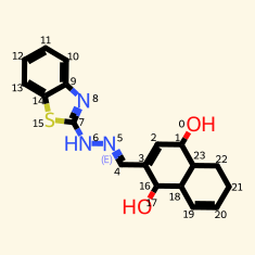 OC1C=C(/C=N/Nc2nc3ccccc3s2)C(O)C2C=CCCC12